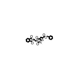 Cn1c(=O)n(CCN2C(=O)c3ccccc3C2=O)c(=O)c2cc(C(=O)OCc3ccccc3)sc21